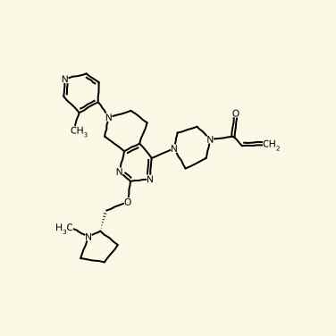 C=CC(=O)N1CCN(c2nc(OC[C@@H]3CCCN3C)nc3c2CCN(c2ccncc2C)C3)CC1